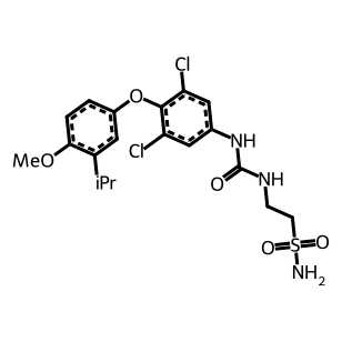 COc1ccc(Oc2c(Cl)cc(NC(=O)NCCS(N)(=O)=O)cc2Cl)cc1C(C)C